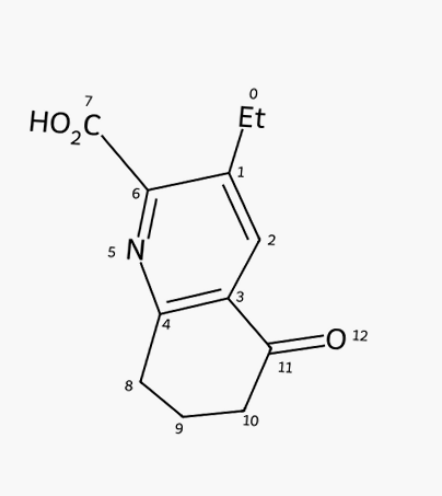 CCc1cc2c(nc1C(=O)O)CCCC2=O